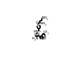 C[C@@H](Nc1ncc(N)c(-c2c[nH]c3ncc(C(F)(F)F)cc23)n1)C1CCN(C(=O)[C@@H](N)CCCN)CC1